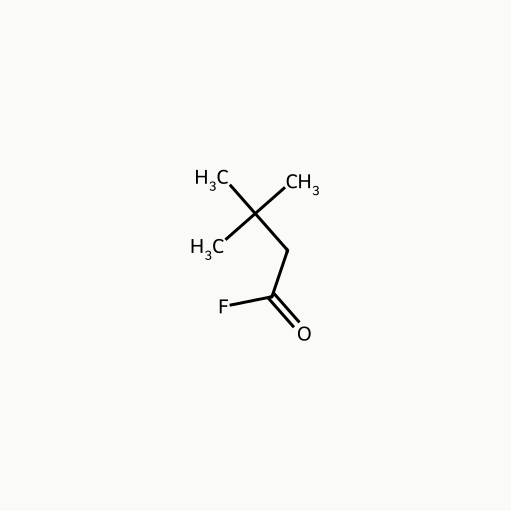 CC(C)(C)CC(=O)F